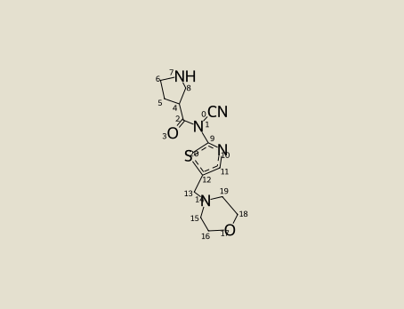 N#CN(C(=O)C1CCNC1)c1ncc(CN2CCOCC2)s1